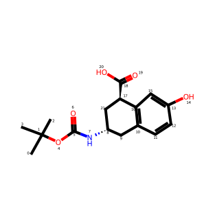 CC(C)(C)OC(=O)N[C@H]1Cc2ccc(O)cc2[C@H](C(=O)O)C1